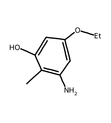 CCOc1cc(N)c(C)c(O)c1